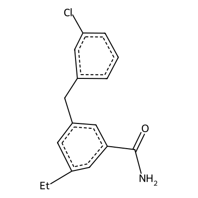 CCc1cc(Cc2cccc(Cl)c2)cc(C(N)=O)c1